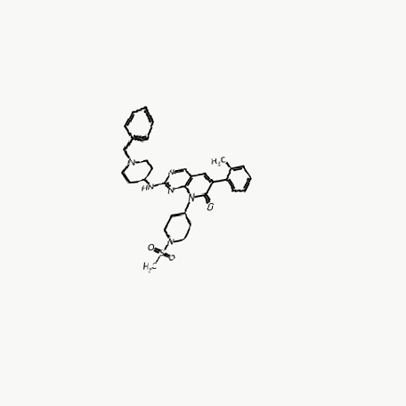 Cc1ccccc1-c1cc2cnc(NC3CCN(Cc4ccccc4)CC3)nc2n(C2CCN(S(C)(=O)=O)CC2)c1=O